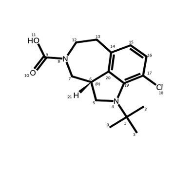 CC(C)(C)N1C[C@@H]2CN(C(=O)O)CCc3ccc(Cl)c1c32